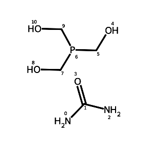 NC(N)=O.OCP(CO)CO